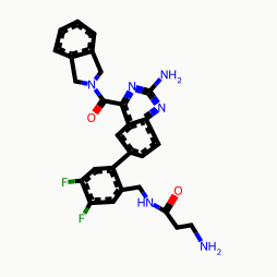 NCCC(=O)NCc1cc(F)c(F)cc1-c1ccc2nc(N)nc(C(=O)N3Cc4ccccc4C3)c2c1